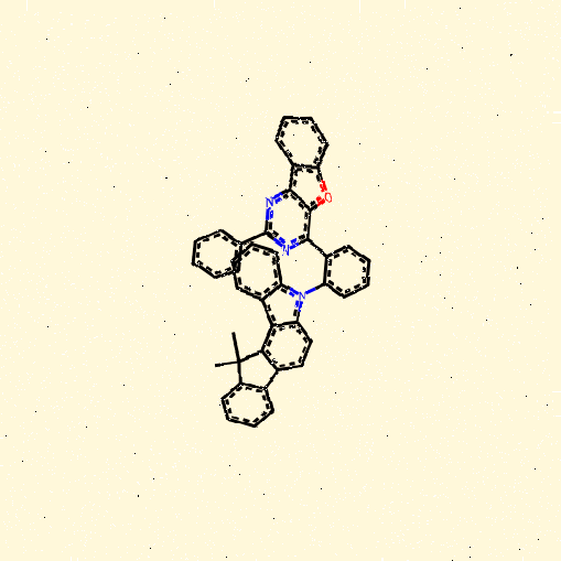 CC1(C)c2ccccc2-c2ccc3c(c21)c1ccccc1n3-c1ccccc1-c1nc(-c2ccccc2)nc2c1oc1ccccc12